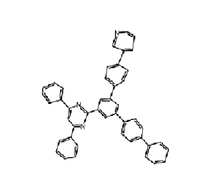 c1ccc(-c2ccc(-c3cc(-c4ccc(-c5cccnc5)cc4)cc(-c4nc(-c5ccccc5)cc(-c5ccccc5)n4)c3)cc2)cc1